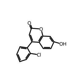 O=c1cc(-c2ccccc2Cl)c2ccc(O)cc2o1